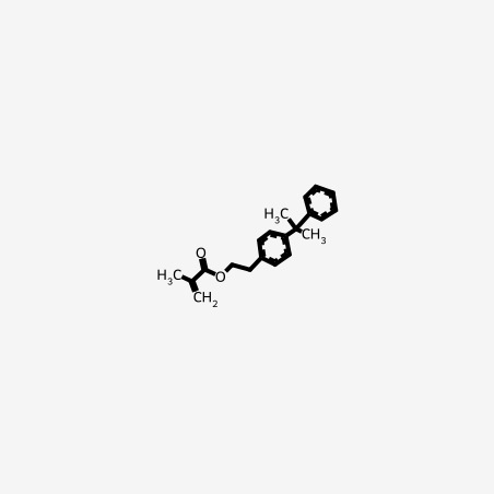 C=C(C)C(=O)OCCc1ccc(C(C)(C)c2ccccc2)cc1